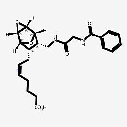 O=C(O)CCC/C=C\C[C@H]1[C@@H](CNC(=O)CNC(=O)c2ccccc2)[C@@H]2O[C@H]1[C@@H]1O[C@@H]12